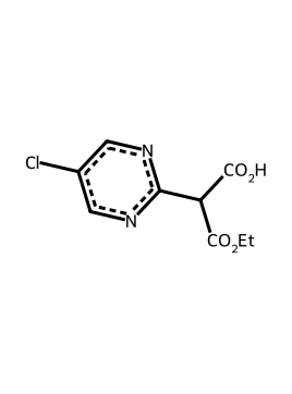 CCOC(=O)C(C(=O)O)c1ncc(Cl)cn1